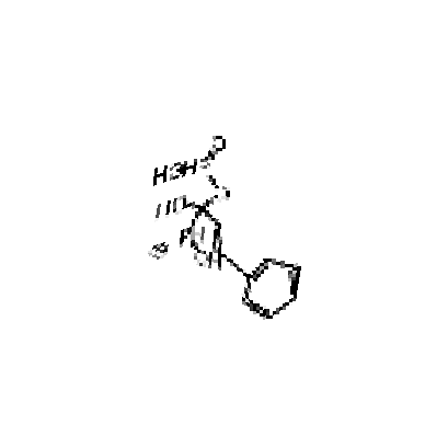 O=[PH](O)OC(O)(C=Cc1ccccc1)[PH](=O)O